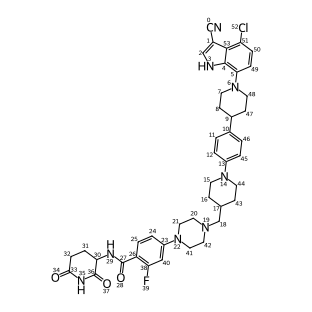 N#Cc1c[nH]c2c(N3CCC(c4ccc(N5CCC(CN6CCN(c7ccc(C(=O)NC8CCC(=O)NC8=O)c(F)c7)CC6)CC5)cc4)CC3)ccc(Cl)c12